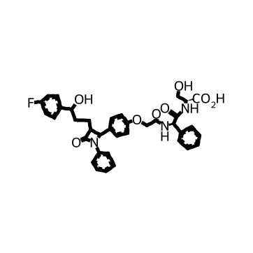 O=C(COc1ccc(C2C(CCC(O)c3ccc(F)cc3)C(=O)N2c2ccccc2)cc1)N[C@@H](C(=O)N[C@H](CO)C(=O)O)c1ccccc1